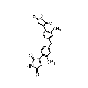 Cc1cc(Cc2ccc(C3=CC(=O)NC3=O)c(C)c2)ccc1C1=CC(=O)NC1=O